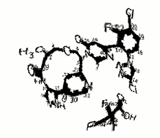 C[C@@H]1CCC[C@H](n2cnc(-c3c(-n4cc(Cl)nn4)ccc(Cl)c3F)cc2=O)c2cc(ccn2)-c2[nH]ncc2NC1=O.O=C(O)C(F)(F)F